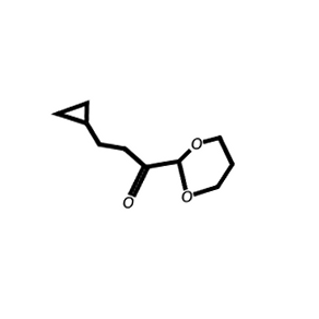 O=C(CCC1CC1)C1OCCCO1